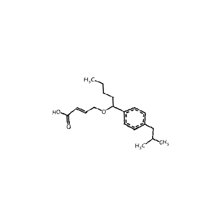 CCCCC(OCC=CC(=O)O)c1ccc(CC(C)C)cc1